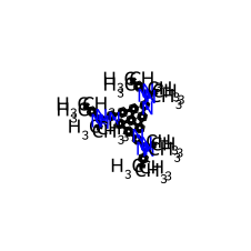 CC(C)(C)c1ccc(-c2nc(-c3ccc(-c4ccc(-c5ccccc5-c5cc(-c6ccccc6-c6ccc(-c7ccc(-c8nc(-c9ccc(C(C)(C)C)cc9)nc(C(C)(C)C)n8)cn7)cc6)cc(-c6ccccc6-c6ccc(-c7ccc(-c8nc(-c9ccc(C(C)(C)C)cc9)nc(C(C)(C)C)n8)cn7)cc6)c5)cc4)nc3)nc(C(C)(C)C)n2)cc1